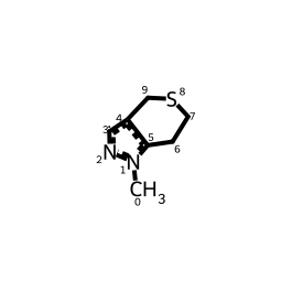 Cn1n[c]c2c1CCSC2